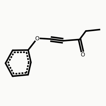 CCC(=O)C#COc1ccccc1